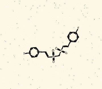 O=S(=O)(/C=C/c1ccc(F)cc1)CS(=O)(=O)/C=C/c1ccc(F)cc1